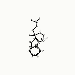 CN(C)CCC1(C)OCCC2=C1Cc1ccccc12.Cl